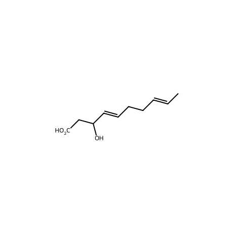 CC=CCCC=CC(O)CC(=O)O